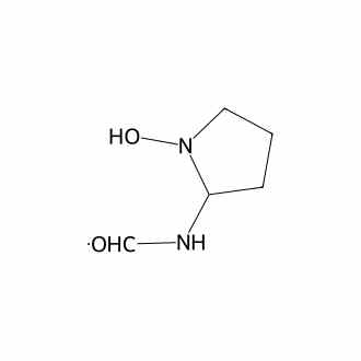 O=[C]NC1CCCN1O